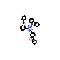 c1ccc(-c2nc3c(-c4nc(-c5ccc6c(c5)oc5ccccc56)nc(-n5c6ccccc6c6ccccc65)n4)cccc3s2)cc1